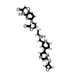 O=C1COc2ccc(N3C[C@H](CCNCc4cc(-c5cncc(OC6COC6)n5)ccn4)OC3=O)nc2N1